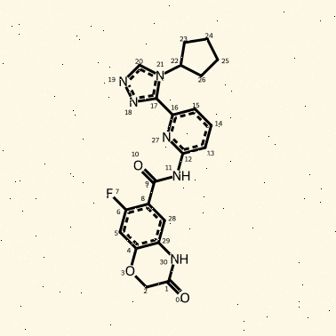 O=C1COc2cc(F)c(C(=O)Nc3cccc(-c4nncn4C4CCCC4)n3)cc2N1